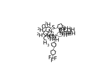 [2H]c1c(C)c([2H])c2c(c1[2H])c(=O)c([2H])c(SCc1cccc(F)c1F)n2CC(=O)N(C1CCN(C([2H])([2H])C([2H])([2H])OC([2H])([2H])[2H])CC1)C([2H])([2H])c1ccc(-c2ccc(C(F)(F)F)cc2)cc1